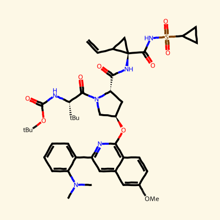 C=CC1C[C@]1(NC(=O)[C@@H]1C[C@@H](Oc2nc(-c3ccccc3N(C)C)cc3cc(OC)ccc23)CN1C(=O)[C@@H](NC(=O)OC(C)(C)C)C(C)(C)C)C(=O)NS(=O)(=O)C1CC1